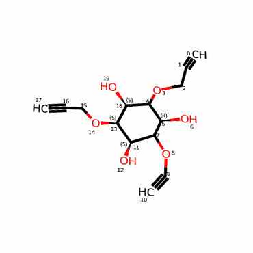 C#CCOC1[C@@H](O)C(OC#C)[C@@H](O)[C@@H](OCC#C)[C@H]1O